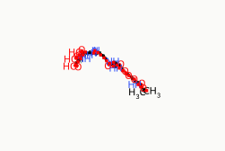 CC(C)OCC(=O)NCCOCCOCCOCCNC(=O)c1ccc(C(=O)NCCCCCCc2cn(CCCC[C@H](NC(=O)N[C@@H](CCC(=O)O)C(=O)O)C(=O)O)nn2)cc1